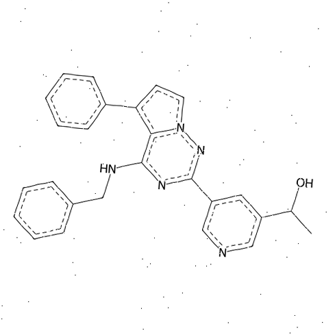 CC(O)c1cncc(-c2nc(NCc3ccccc3)c3c(-c4ccccc4)ccn3n2)c1